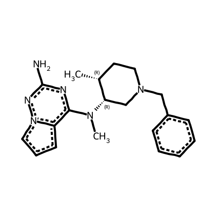 C[C@@H]1CCN(Cc2ccccc2)C[C@@H]1N(C)c1nc(N)nn2cccc12